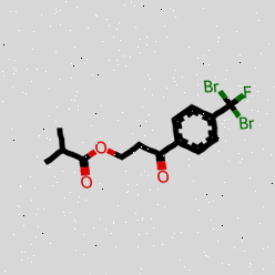 CC(C)C(=O)OCCC(=O)c1ccc(C(F)(Br)Br)cc1